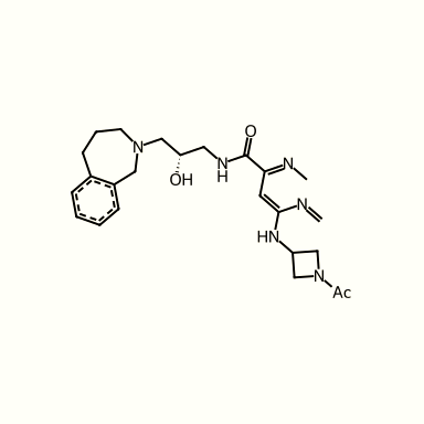 C=N/C(=C\C(=N/C)C(=O)NC[C@H](O)CN1CCCc2ccccc2C1)NC1CN(C(C)=O)C1